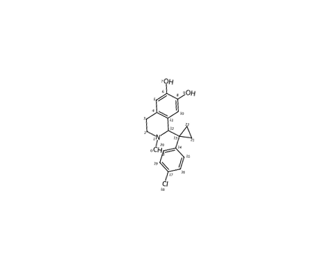 CN1CCc2cc(O)c(O)cc2C1C1(c2ccc(Cl)cc2)CC1